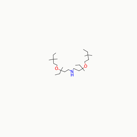 CCC(C)(C)CCOC(C)(CC)CCNCCC(C)(CC)OCCC(C)(C)CC